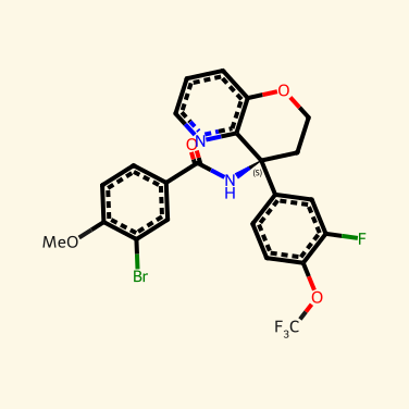 COc1ccc(C(=O)N[C@]2(c3ccc(OC(F)(F)F)c(F)c3)CCOc3cccnc32)cc1Br